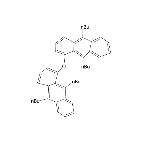 CCCCc1c2ccccc2c(CCCC)c2c(Oc3cccc4c(CCCC)c5ccccc5c(CCCC)c34)cccc12